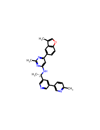 Cc1ccc(-c2cncc([C@H](C)Nc3cc(-c4ccc5occ(C)c5c4)nc(C)n3)c2)cn1